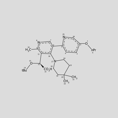 CCCOc1ccc(-c2cnc(C)c([C@H](OC(C)(C)C)C(=O)O)c2N2CCC(C)(C)CC2)nc1